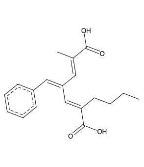 CCCCC(=CC(=Cc1ccccc1)C=C(C)C(=O)O)C(=O)O